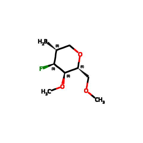 B[C@@H]1CO[C@H](COC)[C@@H](OC)[C@H]1F